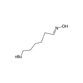 [CH2]CCCCCCCCC=NO